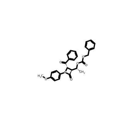 COc1ccc(N2C(=O)[C@H]([C@@H](C)OC(=O)OCc3ccccc3)[C@H]2C(=O)c2ccccc2)cc1